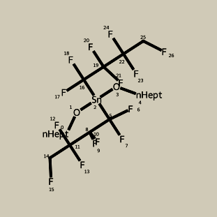 CCCCCCC[O][Sn]([O]CCCCCCC)([C](F)(F)C(F)(F)C(F)(F)CF)[C](F)(F)C(F)(F)C(F)(F)CF